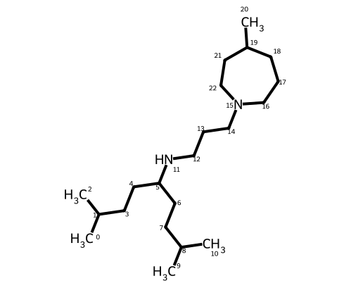 CC(C)CCC(CCC(C)C)NCCCN1CCCC(C)CC1